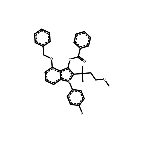 COCCC(C)(C)c1c(OC(=O)c2ccccc2)c2c(OCc3ccccc3)cccc2n1-c1ccc(F)cc1